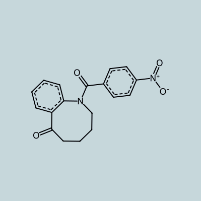 O=C1CCCCN(C(=O)c2ccc([N+](=O)[O-])cc2)c2ccccc21